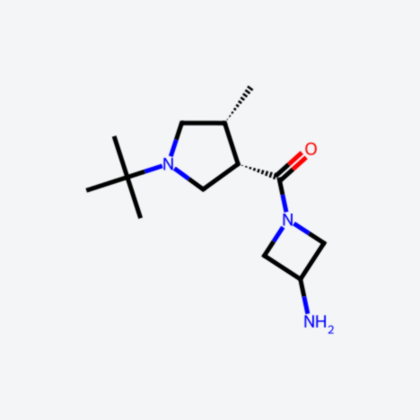 C[C@H]1CN(C(C)(C)C)C[C@H]1C(=O)N1CC(N)C1